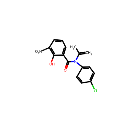 C=C(C)N(C(=O)c1cccc([N+](=O)[O-])c1O)c1ccc(Cl)cc1